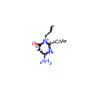 C=CCn1c(OC)nc(N)cc1=O